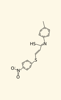 Cc1ccc(N=C(S)C=CSc2ccc([N+](=O)[O-])cc2)cc1